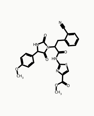 COC(=O)c1csc(NC(=O)C(Cc2ccccc2C#N)N2C(=O)NC(c3ccc(OC)cc3)C2=O)n1